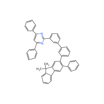 CC1(C)c2ccccc2-c2cc(-c3ccccc3)c(-c3cccc(-c4cccc(-c5nc(-c6ccccc6)cc(-c6ccccc6)n5)c4)c3)cc21